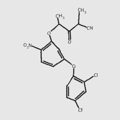 CC(C#N)C(=O)C(C)Oc1cc(Oc2ccc(Cl)cc2Cl)ccc1[N+](=O)[O-]